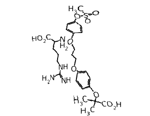 CC(C)(Oc1ccc(OCCCOc2ccc(OS(C)(=O)=O)cc2)cc1)C(=O)O.N=C(N)NCCCC(N)C(=O)O